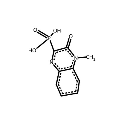 Cn1c(=O)c(P(=O)(O)O)nc2ccccc21